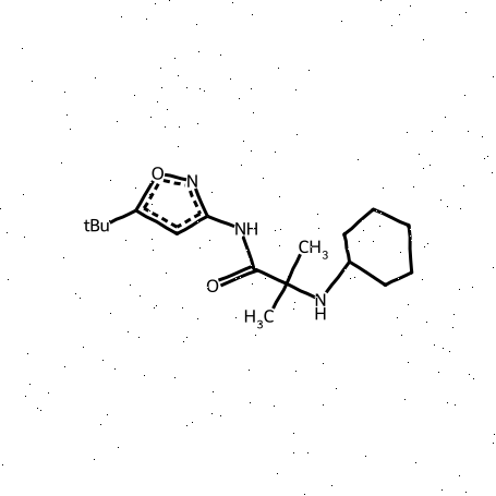 CC(C)(NC1CCCCC1)C(=O)Nc1cc(C(C)(C)C)on1